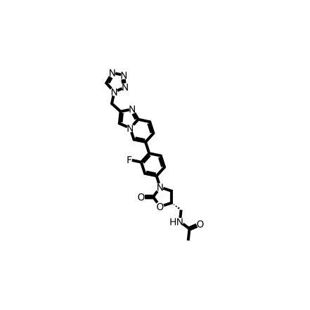 CC(=O)NC[C@H]1CN(c2ccc(-c3ccc4nc(Cn5cnnn5)cn4c3)c(F)c2)C(=O)O1